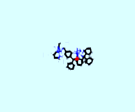 CCc1nc2c(C)cc(C)nc2n1Cc1ccc(C(=C(C)c2nnnn2C(c2ccccc2)(c2ccccc2)c2ccccc2)c2ccccc2)cc1